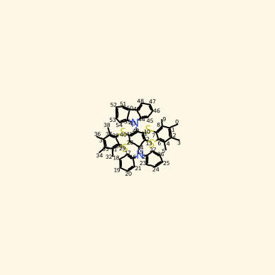 Cc1c(C)c(C)c2c(c1C)SC1=C(S2)C(N(c2ccccc2)c2ccccc2)C2Sc3c(C)c(C)c(C)c(C)c3SC2=C1n1c2ccccc2c2ccccc21